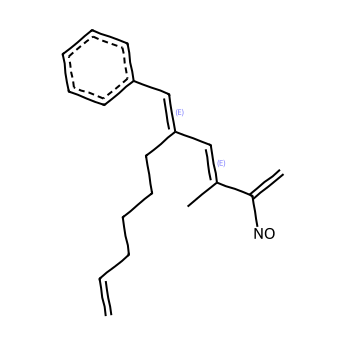 C=CCCCCC(=C\c1ccccc1)/C=C(\C)C(=C)N=O